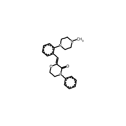 CN1CCN(c2ccccc2/C=C2\OCCN(c3ccccc3)C2=O)CC1